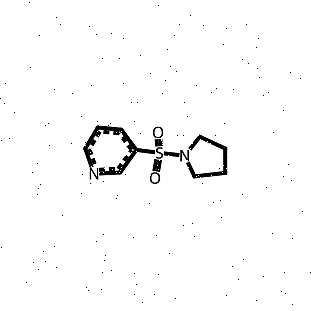 O=S(=O)(c1cccnc1)N1CCCC1